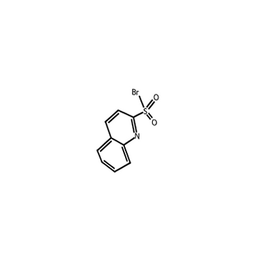 O=S(=O)(Br)c1ccc2ccccc2n1